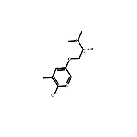 Cc1cc(OC[C@@H](C)N(C)C)cnc1Cl